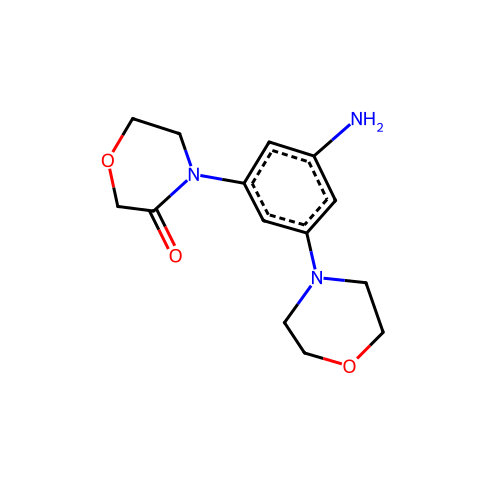 Nc1cc(N2CCOCC2)cc(N2CCOCC2=O)c1